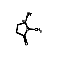 CC(C)[C@@H]1CCC(=O)N1C